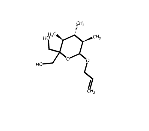 C=CCOC1OC(CO)(CO)[C@@H](C)[C@H](C)[C@H]1C